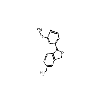 Cc1ccc2c(c1)COB2c1cccc(OC#N)c1